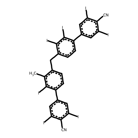 Cc1c(Cc2ccc(-c3cc(I)c(C#N)c(I)c3)c(I)c2I)ccc(-c2cc(I)c(C#N)c(I)c2)c1I